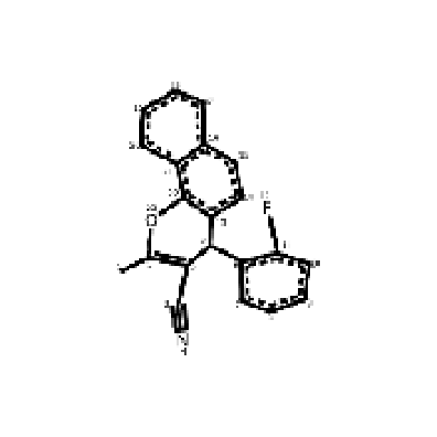 CC1=C(C#N)C(c2ccccc2F)c2ccc3ccccc3c2O1